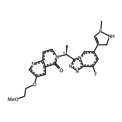 COCCOc1cnc2ccn([C@@H](C)c3nnc4c(F)cc(C5=CN(C)NC5)cn34)c(=O)c2c1